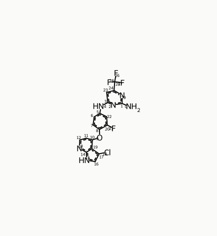 Nc1nc(Nc2ccc(Oc3ccnc4[nH]cc(Cl)c34)c(F)c2)cc(C(F)(F)F)n1